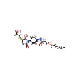 COCCOCCC(=O)NC1CCC(N2C(=O)CC(SCCO)C2=O)CC1